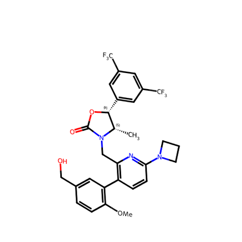 COc1ccc(CO)cc1-c1ccc(N2CCC2)nc1CN1C(=O)O[C@H](c2cc(C(F)(F)F)cc(C(F)(F)F)c2)[C@@H]1C